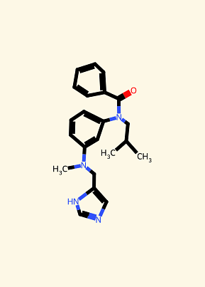 CC(C)CN(C(=O)c1ccccc1)c1cccc(N(C)Cc2cnc[nH]2)c1